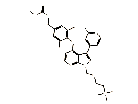 CC(C)(C)OC(=O)NCc1cc(F)c(Oc2ccnc3c2c(-c2ccnc(N)c2)cn3COCC[Si](C)(C)C)c(F)c1